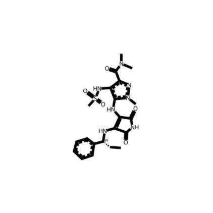 CC[C@@H](NC1=C(Nc2c(NS(C)(=O)=O)c(C(=O)N(C)C)nn2C)C(=O)NC1=O)c1ccccc1